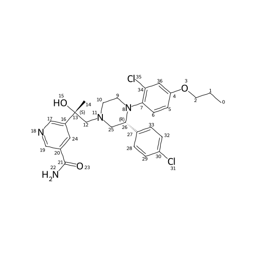 CCCOc1ccc(N2CCN(C[C@@](C)(O)c3cncc(C(N)=O)c3)C[C@H]2c2ccc(Cl)cc2)c(Cl)c1